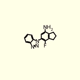 Nc1cc(-n2nnc3ccccc32)c(F)c2c1CCC2